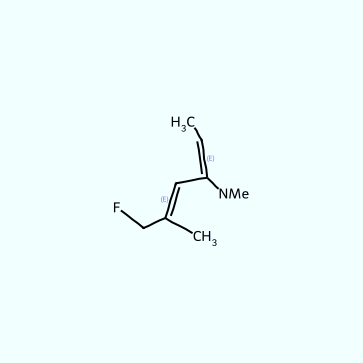 C/C=C(\C=C(/C)CF)NC